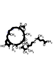 C/C1=C\C=C\C[C@@]2(C)CC(OC(=O)N2)[C@@H](C)C2OC2(C)[C@@H](OC(=O)[C@H](C)N(C)C(=O)CCSSC(C)CCC(N)=O)CC(=O)N(C)c2cc(cc(O)c2I)C1